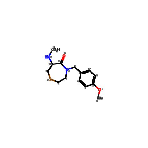 CCCCOc1ccc(CN2CCSCC(NC(=O)O)C2=O)cc1